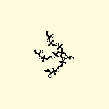 C=CC(=O)OC(C)(C)CCOC(C)(C)CC(COC(C)C)(COC(C)(C)CCOC(C)(C)C(=O)C=C)CC(C)(C)OCC(C)(C)OC(=O)C=C